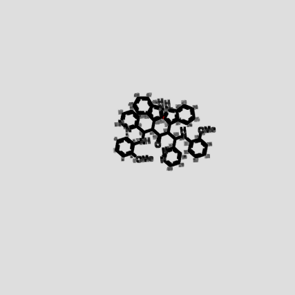 COc1ccccc1NC(c1cccnn1)C(C(=O)C(c1c[nH]c2ccccc12)C(Nc1ccccc1OC)c1cccnn1)c1c[nH]c2ccccc12